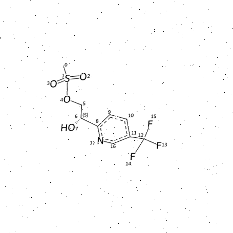 CS(=O)(=O)OC[C@@H](O)c1ccc(C(F)(F)F)cn1